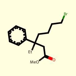 CCC(CCCCBr)(CC(=O)OC)c1ccccc1